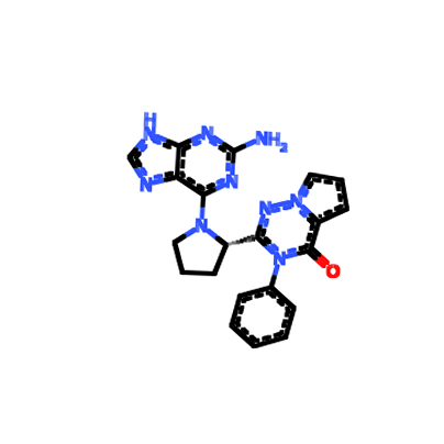 Nc1nc(N2CCC[C@H]2c2nn3cccc3c(=O)n2-c2ccccc2)c2nc[nH]c2n1